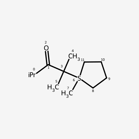 CC(C)C(=O)C(C)(C)S1(C)CCCC1